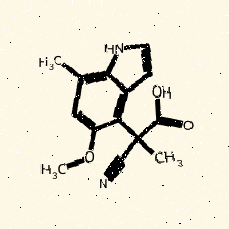 COc1cc(C)c2[nH]ccc2c1C(C)(C#N)C(=O)O